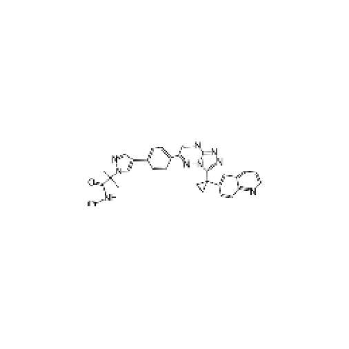 CC(C)NC(=O)C(C)(C)n1cc(-c2ccc(-c3cnc4nnc(C5(c6ccc7ncccc7c6)CC5)n4n3)cc2)cn1